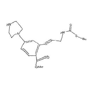 COC(=O)c1ccc(N2CCNCC2)cc1C#CCNC(=O)OC(C)(C)C